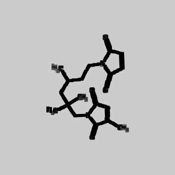 CC1=CC(=O)N(CC(C)(C)CC(C)CCN2C(=O)C=CC2=O)C1=O